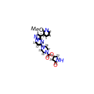 COc1ncccc1-c1cnn2ccc(N3CCN(C(=O)OC4CNC(=O)C4)CC3)nc12